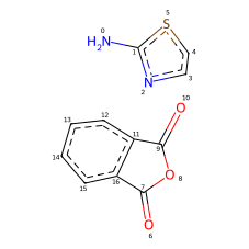 Nc1nccs1.O=C1OC(=O)c2ccccc21